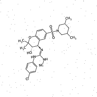 CC1CC(C)CN(S(=O)(=O)c2ccc3c(c2)[C@@H](/N=C(/NC#N)Nc2ccc(Cl)cc2)[C@H](O)C(C)(C)O3)C1